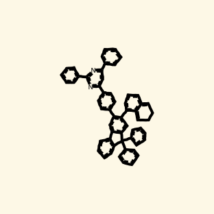 C1=c2cccc(-c3cc4c(cc3-c3ccc(-c5cc(-c6ccccc6)nc(-c6ccccc6)n5)cc3)-c3ccccc3C4(c3ccccc3)c3ccccc3)c2=CCC1